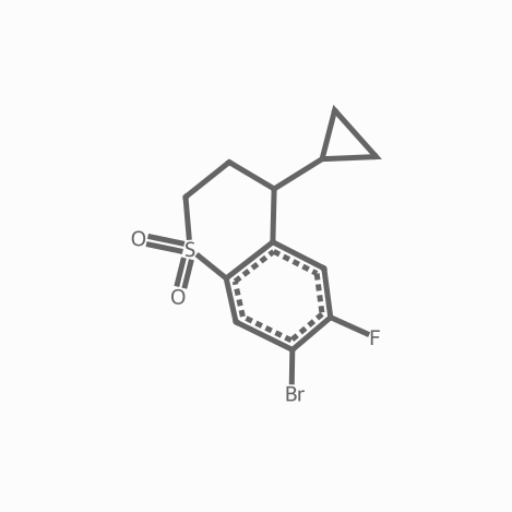 O=S1(=O)CCC(C2CC2)c2cc(F)c(Br)cc21